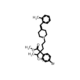 COC(=O)C(CCCN1CCC(=Cc2ccccc2C)CC1)(c1ccc(Br)cc1)C(C)C